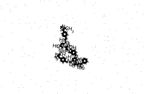 Cc1ncsc1-c1ccc(CNC(=O)[C@@H]2C[C@@H](Oc3ccc4c(c3)CN([C@H](C(=O)N3C[C@H](O)C[C@H]3C(=O)NCc3ccc(-c5scnc5C)cc3)C(C)(C)C)C4O)CN2C(=O)[C@@H](NC(=O)c2ccccc2C#N)C(C)(C)C)cc1